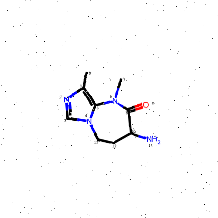 Cc1ncn2c1N(C)C(=O)C(N)CC2